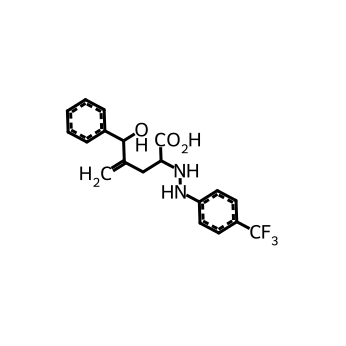 C=C(CC(NNc1ccc(C(F)(F)F)cc1)C(=O)O)C(O)c1ccccc1